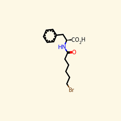 O=C(CCCCCBr)N[C@@H](Cc1ccccc1)C(=O)O